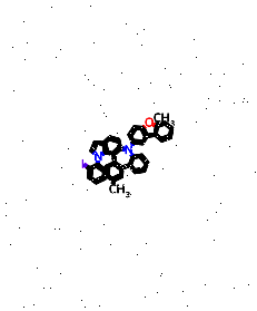 Cc1ccc2c(c1)C1C=CC=CC1N(c1ccc3c(c1)C1C=CCCC1(C)O3)c1ccc3ccn(-c4ccccc4I)c3c1-2